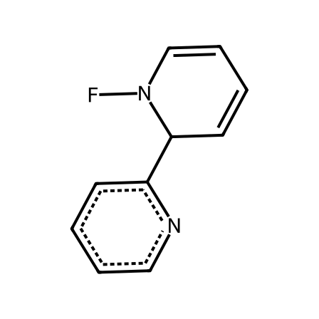 FN1C=CC=CC1c1ccccn1